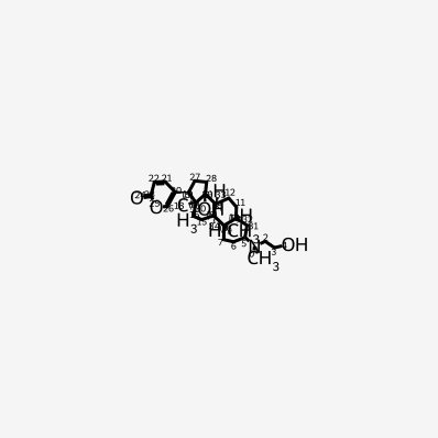 CN(CCO)C1CC[C@@]2(C)[C@H](CC[C@@H]3[C@@H]2CC[C@]2(C)[C@@H](c4ccc(=O)oc4)CC[C@]32O)C1